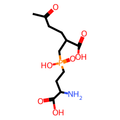 CC(=O)CCC(CP(=O)(O)CCC(N)C(=O)O)C(=O)O